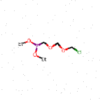 CCOP(COCOCCl)OCC